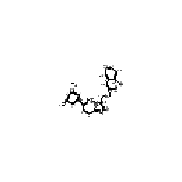 Fc1cc(F)cc(-c2ccc3nnc(COc4cnc5ccccc5c4)n3n2)c1